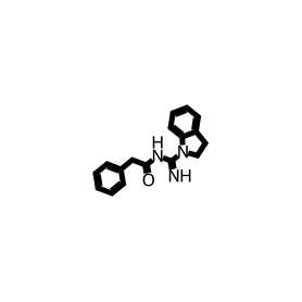 N=C(NC(=O)Cc1ccccc1)N1CCc2ccccc21